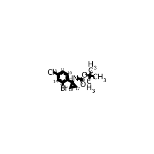 CC(C)(C)OC(=O)NC1(c2ccc(Cl)cc2Br)CC1